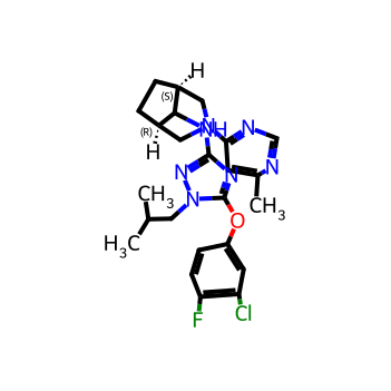 Cc1cc(N2C[C@H]3CC[C@@H](C2)C3Nc2nc(Oc3ccc(F)c(Cl)c3)n(CC(C)C)n2)ncn1